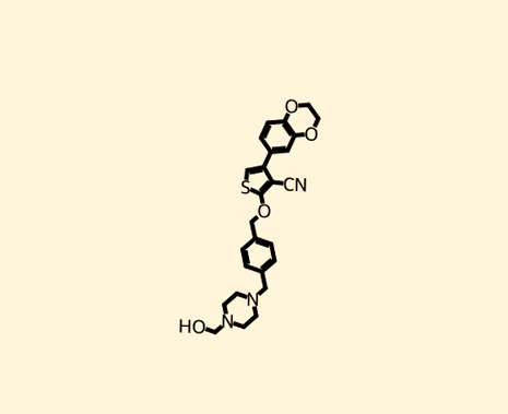 N#Cc1c(-c2ccc3c(c2)OCCO3)csc1OCc1ccc(CN2CCN(CO)CC2)cc1